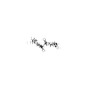 CCOc1nc(N)nc2c1ncn2[C@@H]1O[C@H](COP(=O)(NCCNP(=O)(OC[C@H]2O[C@H](n3cnc4c(OC)nc(N)nc43)[C@](C)(O)[C@@H]2O)Oc2ccccc2)Oc2ccccc2)[C@@H](O)[C@@]1(C)F